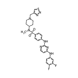 CN(C1CCN(Cc2csnn2)CC1)S(=O)(=O)c1ccc(Nc2nccc(Nc3ccc(F)c(F)c3)n2)cc1